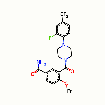 CC(C)Oc1ccc(C(N)=O)cc1C(=O)N1CCN(c2ccc(C(F)(F)F)cc2F)CC1